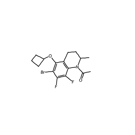 CC(=O)N1c2c(F)c(F)c(Br)c(OC3CCC3)c2CCC1C